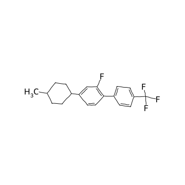 CC1CCC(c2ccc(-c3ccc(C(F)(F)F)cc3)c(F)c2)CC1